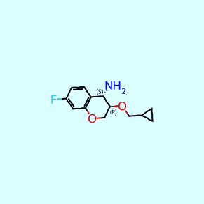 N[C@H]1c2ccc(F)cc2OC[C@@H]1OCC1CC1